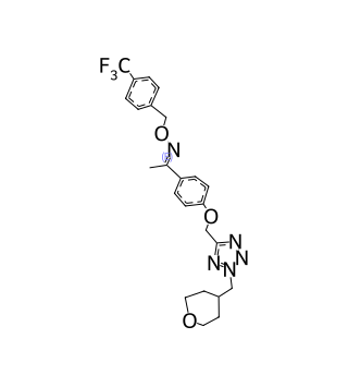 C/C(=N\OCc1ccc(C(F)(F)F)cc1)c1ccc(OCc2nnn(CC3CCOCC3)n2)cc1